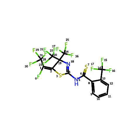 FC(=C1SC(NC(=S)c2ccccc2C(F)(F)F)=NC1(C(F)(F)F)C(F)(F)F)C(F)(F)F